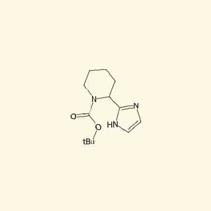 CC(C)(C)OC(=O)N1CCCCC1c1ncc[nH]1